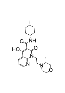 C[C@@H]1COCCN1CCn1c(=O)c(C(=O)N[C@H]2CC[C@@H](C)CC2)c(O)c2cccnc21